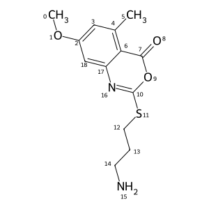 COc1cc(C)c2c(=O)oc(SCCCN)nc2c1